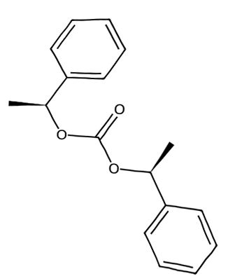 C[C@H](OC(=O)O[C@@H](C)c1ccccc1)c1ccccc1